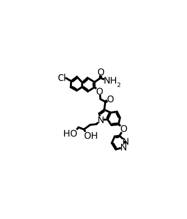 NC(=O)c1cc2cc(Cl)ccc2cc1OCC(=O)c1cn(CCC(O)CO)c2cc(Oc3cccnn3)ccc12